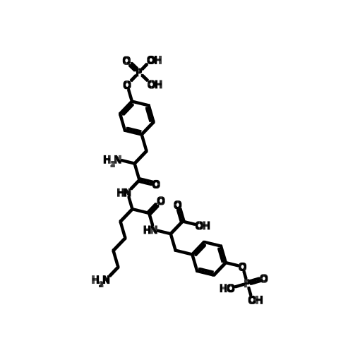 NCCCCC(NC(=O)C(N)Cc1ccc(OP(=O)(O)O)cc1)C(=O)NC(Cc1ccc(OP(=O)(O)O)cc1)C(=O)O